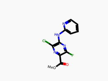 COC(=O)c1nc(Cl)c(Nc2ccccn2)nc1F